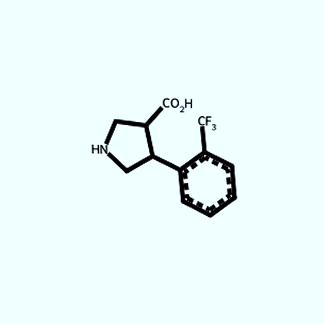 O=C(O)C1CNCC1c1ccccc1C(F)(F)F